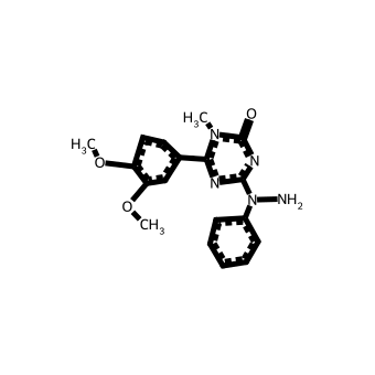 COc1ccc(-c2nc(N(N)c3ccccc3)nc(=O)n2C)cc1OC